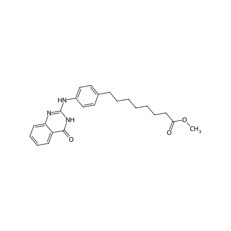 COC(=O)CCCCCCCc1ccc(Nc2nc3ccccc3c(=O)[nH]2)cc1